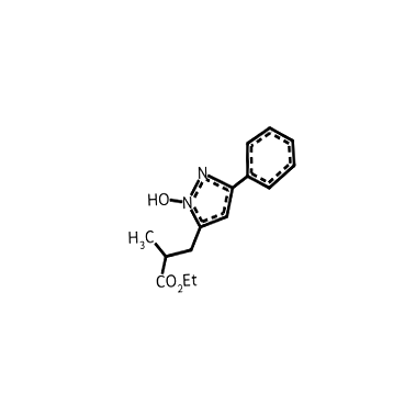 CCOC(=O)C(C)Cc1cc(-c2ccccc2)nn1O